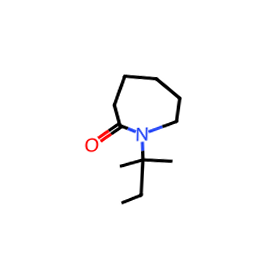 CCC(C)(C)N1CCCCCC1=O